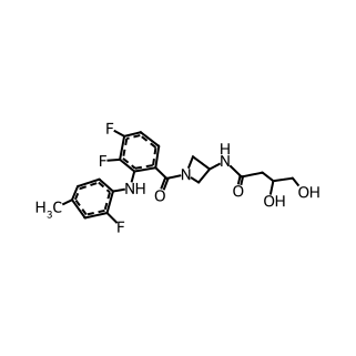 Cc1ccc(Nc2c(C(=O)N3CC(NC(=O)CC(O)CO)C3)ccc(F)c2F)c(F)c1